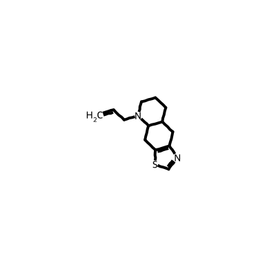 C=CCN1CCCC2Cc3ncsc3CC21